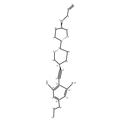 C=CCO[C@H]1CC[C@H]([C@H]2CC[C@H](C#Cc3c(F)cc(CCC)cc3F)CC2)CC1